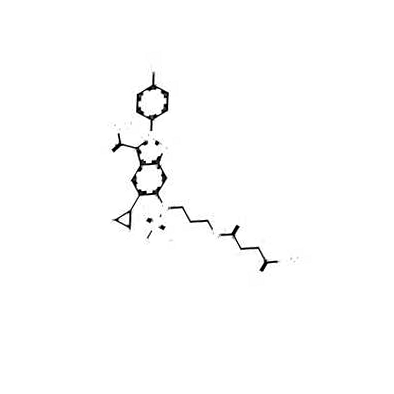 CNC(=O)c1c2cc(C3CC3)c(N(CCCNC(=O)CCC(=O)OC)S(C)(=O)=O)cc2nn1-c1ccc(Br)cc1